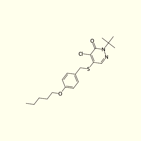 CCCCCOc1ccc(CSc2cnn(C(C)(C)C)c(=O)c2Cl)cc1